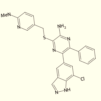 CNc1ccc(CSc2nc(-c3cc(Cl)c4[nH]ncc4c3)c(-c3ccccc3)nc2N)cn1